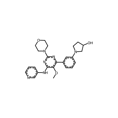 COc1c(Nc2cccnc2)nc(N2CCOCC2)nc1-c1cccc(N2CCC(O)C2)c1